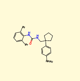 CC(=O)Nc1ccc(C2(CNC(=O)Nc3c(C(C)C)cccc3C(C)C)CCCC2)cc1